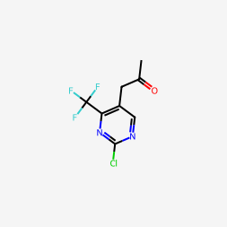 CC(=O)Cc1cnc(Cl)nc1C(F)(F)F